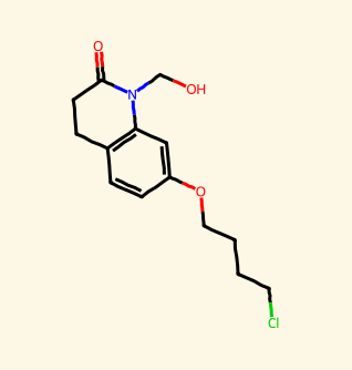 O=C1CCc2ccc(OCCCCCl)cc2N1CO